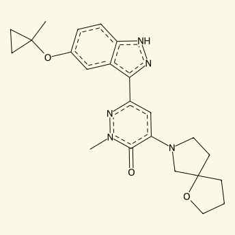 Cn1nc(-c2n[nH]c3ccc(OC4(C)CC4)cc23)cc(N2CCC3(CCCO3)C2)c1=O